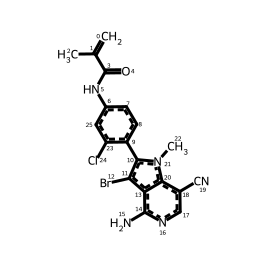 C=C(C)C(=O)Nc1ccc(-c2c(Br)c3c(N)ncc(C#N)c3n2C)c(Cl)c1